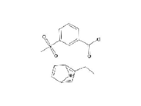 CCc1cc2ccc1[nH]2.CS(=O)(=O)c1cccc(C(=O)Cl)c1